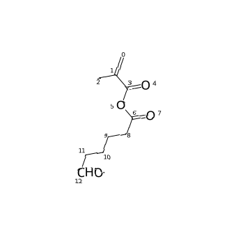 C=C(C)C(=O)OC(=O)CCCC[C]=O